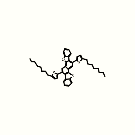 CCCCCCCCc1ccc(-c2cc3c(cc(-c4ccc(CCCCCCCC)s4)c4c5ccccc5sc34)c3oc4ccccc4c23)s1